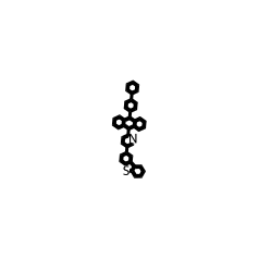 c1ccc(-c2ccc(-c3c4ccccc4c(-c4ccc(-c5ccc6sc7ccccc7c6c5)cn4)c4ccccc34)cc2)cc1